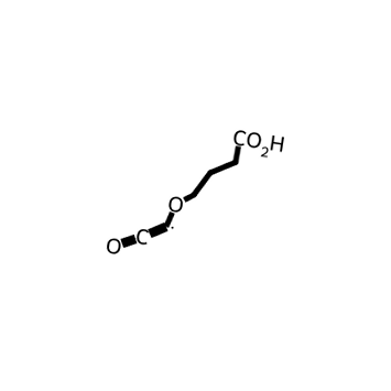 O=C=[C]OCCCC(=O)O